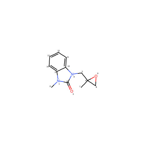 Cn1c(=O)n(CC2(C)CO2)c2ccccc21